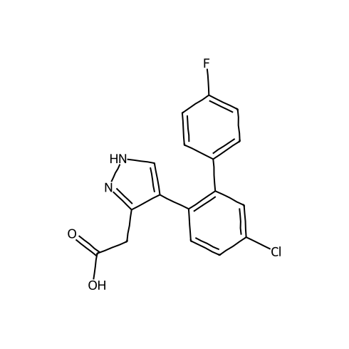 O=C(O)Cc1n[nH]cc1-c1ccc(Cl)cc1-c1ccc(F)cc1